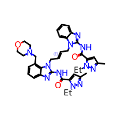 CCn1nc(C)cc1C(=O)Nc1nc2ccccc2n1C/C=C/Cn1c(NC(=O)c2cc(C)nn2CC)nc2cccc(CN3CCOCC3)c21